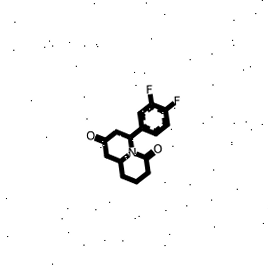 O=C1CC2CCCC(=O)N2C(c2ccc(F)c(F)c2)C1